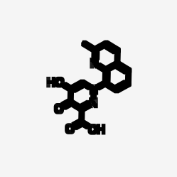 Cc1ccc2cccc(-n3cc(O)c(=O)c(C(=O)O)n3)c2n1